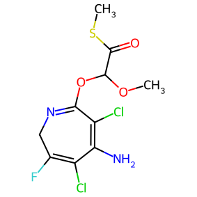 COC(OC1=NCC(F)=C(Cl)C(N)=C1Cl)C(=O)SC